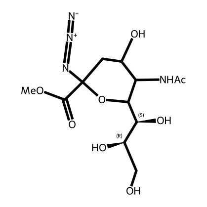 COC(=O)C1(N=[N+]=[N-])CC(O)C(NC(C)=O)C([C@@H](O)[C@H](O)CO)O1